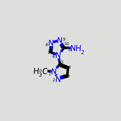 Cn1nccc1-n1cnnc1N